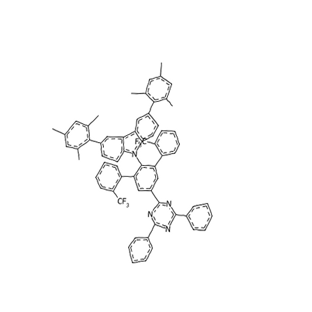 Cc1cc(C)c(-c2ccc3c(c2)c2cc(-c4c(C)cc(C)cc4C)ccc2n3-c2c(-c3ccccc3C(F)(F)F)cc(-c3nc(-c4ccccc4)nc(-c4ccccc4)n3)cc2-c2ccccc2C(F)(F)F)c(C)c1